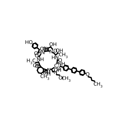 CCCCCOc1ccc(-c2ccc(-c3ccc(C(=O)N[C@H]4C[C@@H](O)C(/C=N/CCOC)NC(=O)[C@H]5C(CCC[C@H](C)[C@@H]5O)C(=O)[C@H]([C@@H](C)O)NC(=O)[C@H](C(=O)[C@@H](O)c5ccc(O)cc5)NC(=O)[C@@H]5C[C@@H](O)CN5C(=O)[C@H]([C@@H](C)O)NC4=O)cc3)cc2)cc1